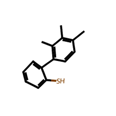 Cc1ccc(-c2ccccc2S)c(C)c1C